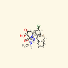 C[C@@H](N1CN([C@@H]2c3ccccc3CSc3cc(Br)ccc32)n2ccc(=O)c(O)c2C1=O)C(F)(F)F